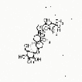 C[C@H](CCC(C)(C)O)[C@H]1CCC2=C3CC[C@@H]4C[C@H](O[C@@H]5O[C@H](CO)[C@@H](O)[C@H](O)[C@H]5O)CC[C@]4(C)[C@H]3CC[C@@]21C